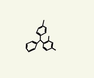 Cc1ccc(C(c2ccccc2)c2ccc(C)cc2C)cc1